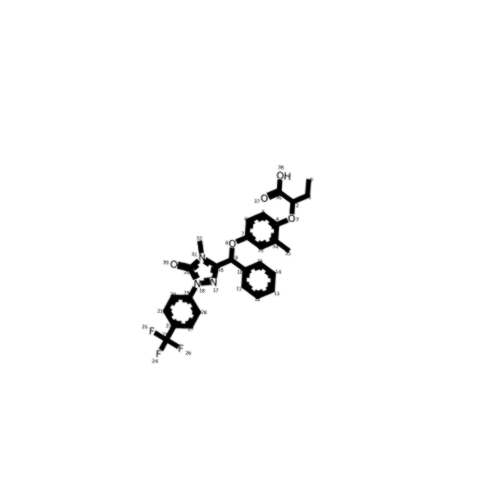 CCC(Oc1ccc(OC(c2ccccc2)c2nn(-c3ccc(C(F)(F)F)cc3)c(=O)n2C)cc1C)C(=O)O